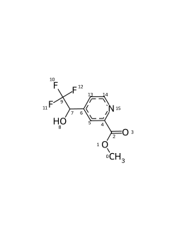 COC(=O)c1cc(C(O)C(F)(F)F)ccn1